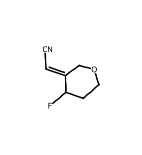 N#CC=C1COCCC1F